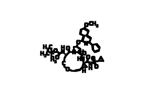 COc1ccc2c(OC3C[C@H]4C(=O)N[C@]5(C(=O)NS(=O)(=O)C6CC6)C[C@H]5/C=C\COCCC[C@H](NC(=O)OC(C)(C)C)C(=O)N4C3)nc(-c3ccccc3)cc2c1